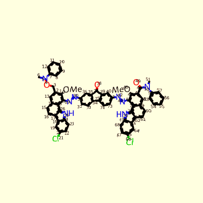 COc1c(CON(C)c2ccccc2)cc2ccc3c4cc(Cl)ccc4[nH]c3c2c1N=Nc1ccc2c(c1)C(=O)c1cc(N=Nc3c(OC)c(C(=O)N(C)c4ccccc4)cc4ccc5c6cc(Cl)ccc6[nH]c5c34)ccc1-2